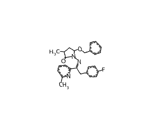 Cc1cccc(C(Cc2ccc(F)cc2)=NN2C(=O)C(C)CC2OCc2ccccc2)n1